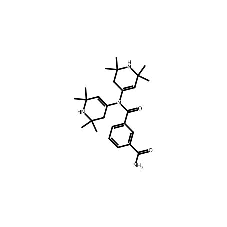 CC1(C)C=C(N(C(=O)c2cccc(C(N)=O)c2)C2=CC(C)(C)NC(C)(C)C2)CC(C)(C)N1